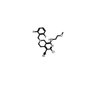 COCCNc1nc(Cl)c(C#N)c2c1CN(Cc1c(F)cccc1F)CC2